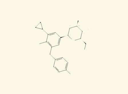 CCc1ccc(Cc2cc([C@@H]3O[C@H](CO)[C@@H](O)[C@H](O)[C@H]3O)cc(C3CC3)c2Cl)cc1